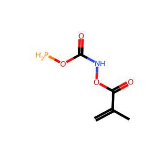 C=C(C)C(=O)ONC(=O)OP